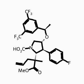 C=CCC(C)(C(=O)OC)[C@H]1[C@H](c2ccc(F)cc2)[C@@H](O[C@H](C)c2cc(C(F)(F)F)cc(C(F)(F)F)c2)CN1C(=O)O